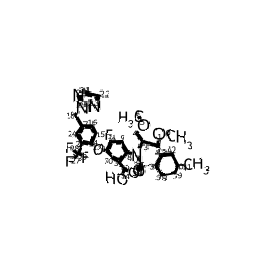 COCC(COC)N(c1cc(F)c(Oc2ccc(Cn3nccn3)cc2C(F)(F)F)cc1C(=O)O)C(=O)[C@H]1CC[C@H](C)CC1